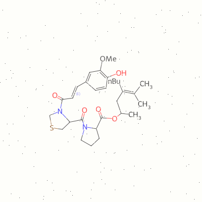 CCCCC(CC(C)OC(=O)C1CCCN1C(=O)C1CSCN1C(=O)/C=C/c1ccc(O)c(OC)c1)=C(C)C